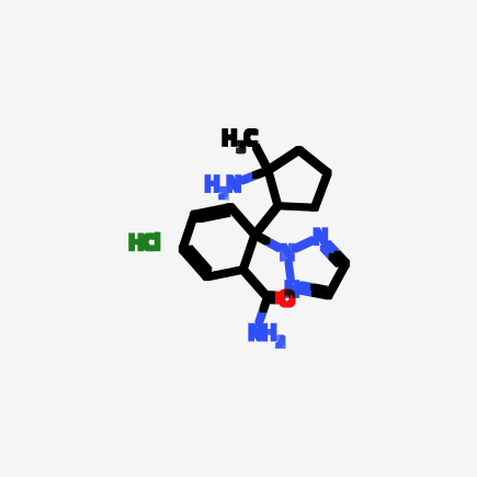 CC1(N)CCCC1C1(n2nccn2)C=CC=CC1C(N)=O.Cl